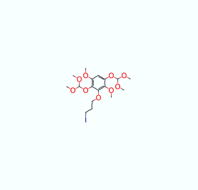 COc1cc(OC(OC)OC)c(OC)c(OCCCI)c1OC(OC)OC